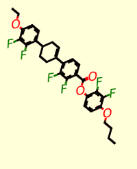 CCCCOc1ccc(OC(=O)c2ccc(C3=CCC(c4ccc(OCC)c(F)c4F)CC3)c(F)c2F)c(F)c1F